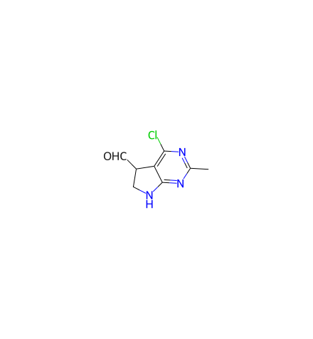 Cc1nc(Cl)c2c(n1)NCC2C=O